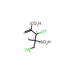 C=C(C(=O)O)C(Cl)C(C)(CCl)S(=O)(=O)O